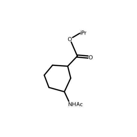 CC(=O)NC1CCCC(C(=O)OC(C)C)C1